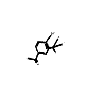 [CH2]C(=O)c1ccc(Br)c(C(F)(F)F)c1